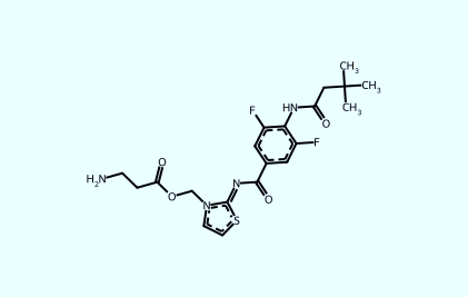 CC(C)(C)CC(=O)Nc1c(F)cc(C(=O)N=c2sccn2COC(=O)CCN)cc1F